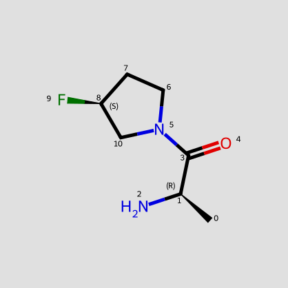 C[C@@H](N)C(=O)N1CC[C@H](F)C1